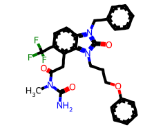 CN(C(N)=O)C(=O)Cc1c(C(F)(F)F)ccc2c1n(CCCOc1ccccc1)c(=O)n2Cc1ccccc1